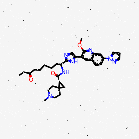 CCC(=O)CCCCCC(NC(=O)[C@H]1CC12CCN(C)CC2)c1ncc(-c2cc3ccc(-n4cccn4)cc3nc2OC)[nH]1